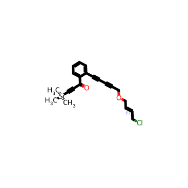 C[Si](C)(C)C#CC(=O)c1ccccc1C#CC#CCOC/C=C/CCl